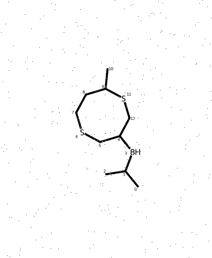 CC(C)BC1CSCCC(C)SC1